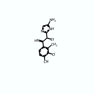 CCC(C(=N)c1ccc(C#N)c(Cl)c1C)c1ncc(N)[nH]1